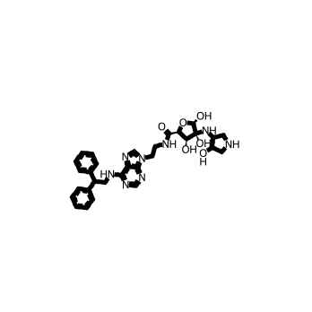 O=C(NCCn1cnc2c(NCC(c3ccccc3)c3ccccc3)ncnc21)[C@H]1O[C@@H](O)[C@@](O)(NC2CNCC2O)[C@@H]1O